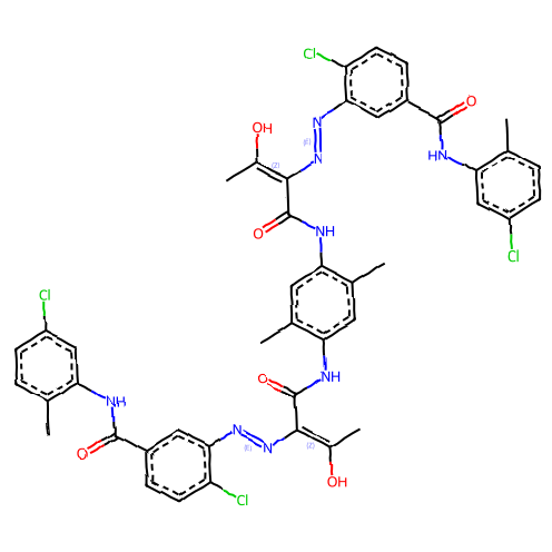 C/C(O)=C(/N=N/c1cc(C(=O)Nc2cc(Cl)ccc2C)ccc1Cl)C(=O)Nc1cc(C)c(NC(=O)C(/N=N/c2cc(C(=O)Nc3cc(Cl)ccc3C)ccc2Cl)=C(\C)O)cc1C